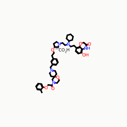 Cc1ccccc1OCC(=O)N1CCOC2(CCN(Cc3cccc(CCOC4CCN(CCN(CCc5ccc(O)c6c5OCC(=O)N6)C5CCCCC5)[C@@H]4C(=O)O)c3)CC2)C1